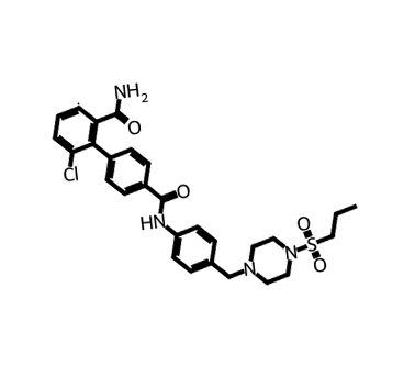 CCCS(=O)(=O)N1CCN(Cc2ccc(NC(=O)c3ccc(-c4c(C(N)=O)[c]ccc4Cl)cc3)cc2)CC1